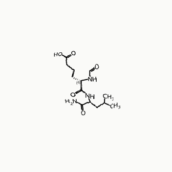 CC(C)CC(NC(=O)[C@H](CCCC(=O)O)NC=O)C(N)=O